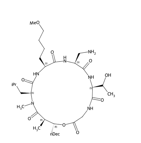 CCCCCCCCCC[C@H]1OC(=O)CNC(=O)[C@H](C(C)O)NC(=O)[C@H](CN)NC(=O)[C@H](CCCCOC)NC(=O)[C@H](CC(C)C)N(C)C(=O)[C@@H]1C